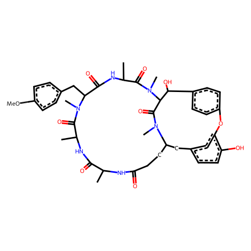 COc1ccc(CC2C(=O)NC(C)C(=O)N(C)C3C(=O)N(C)C(CCC(=O)NC(C)C(=O)NC(C)C(=O)N2C)Cc2ccc(O)c(c2)Oc2ccc(cc2)C3O)cc1